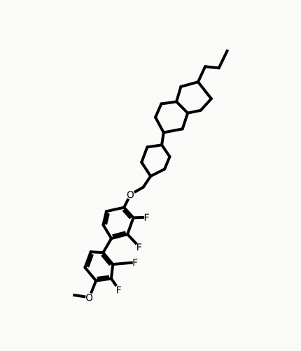 CCCC1CCC2CC(C3CCC(COc4ccc(-c5ccc(OC)c(F)c5F)c(F)c4F)CC3)CCC2C1